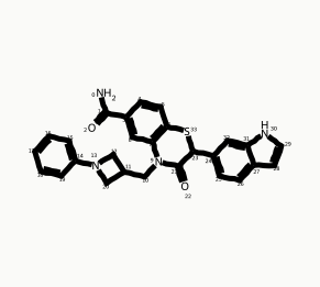 NC(=O)c1ccc2c(c1)N(CC1CN(c3ccccc3)C1)C(=O)C(c1ccc3cc[nH]c3c1)S2